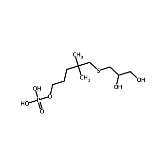 CC(C)(CCCOP(=O)(O)O)CSCC(O)CO